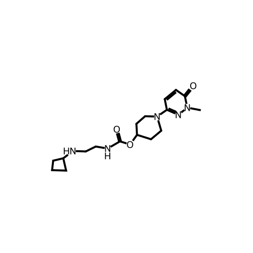 Cn1nc(N2CCC(OC(=O)NCCNC3CCC3)CC2)ccc1=O